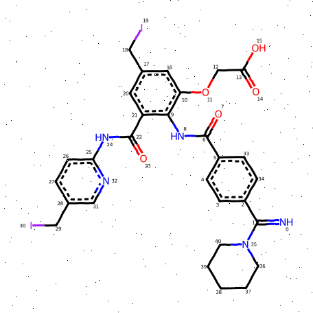 N=C(c1ccc(C(=O)Nc2c(OCC(=O)O)cc(CI)cc2C(=O)Nc2ccc(CI)cn2)cc1)N1CCCCC1